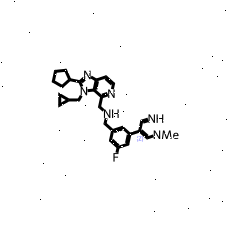 CN/C=C(\C=N)c1cc(F)cc(CNCc2nccc3nc(C4CCCC4)n(CC4CC4)c23)c1